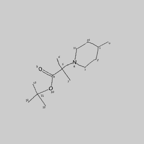 CC1CCN(C(C)(C)C(=O)OC(C)(C)C)CC1